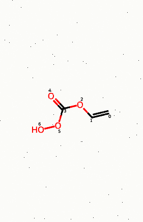 C=COC(=O)OO